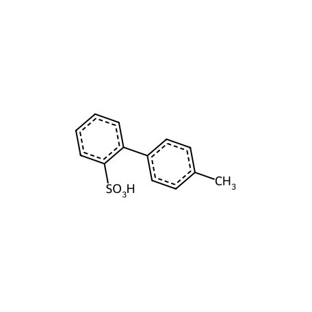 Cc1ccc(-c2ccccc2S(=O)(=O)O)cc1